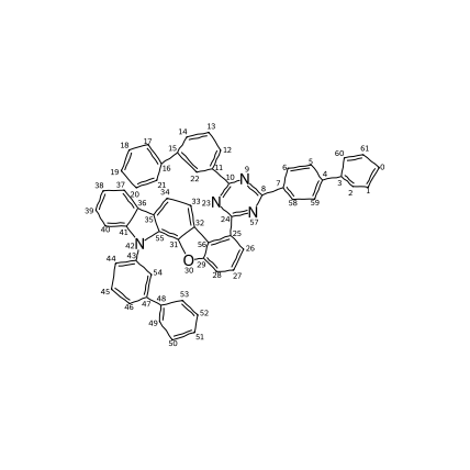 c1ccc(-c2ccc(-c3nc(-c4cccc(-c5ccccc5)c4)nc(-c4cccc5oc6c(ccc7c8ccccc8n(-c8cccc(-c9ccccc9)c8)c76)c45)n3)cc2)cc1